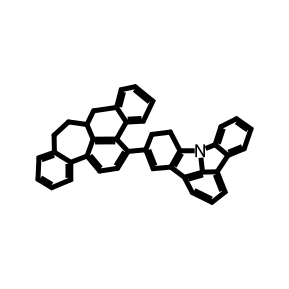 C1=C(c2ccc3c4c2-c2ccccc2CC4CCc2ccccc2-3)CCc2c1c1cccc3c4ccccc4n2c13